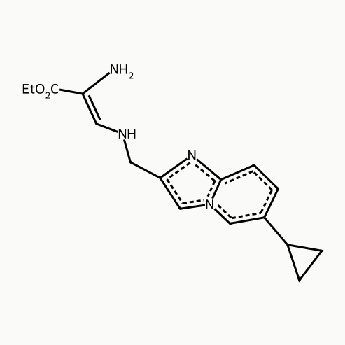 CCOC(=O)/C(N)=C/NCc1cn2cc(C3CC3)ccc2n1